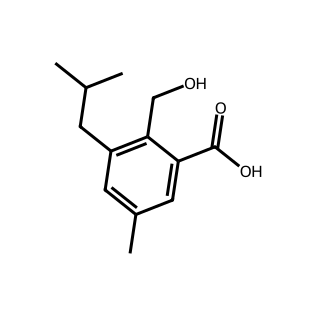 Cc1cc(CC(C)C)c(CO)c(C(=O)O)c1